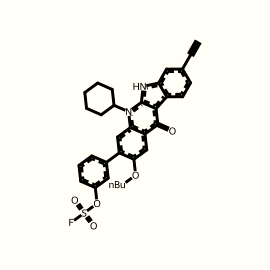 C#Cc1ccc2c(c1)[nH]c1c2c(=O)c2cc(OCCCC)c(-c3cccc(OS(=O)(=O)F)c3)cc2n1C1CCCCC1